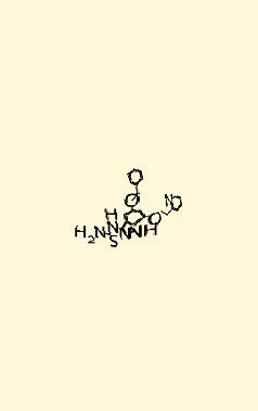 NC(=S)Nc1n[nH]c2c(OCCc3ccccn3)cc(OCc3ccccc3)cc12